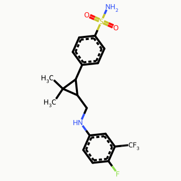 CC1(C)C(CNc2ccc(F)c(C(F)(F)F)c2)C1c1ccc(S(N)(=O)=O)cc1